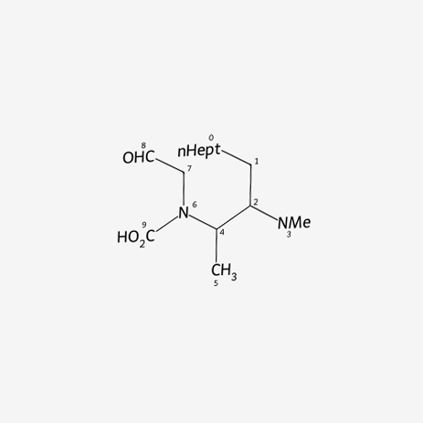 CCCCCCCCC(NC)C(C)N(CC=O)C(=O)O